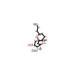 CC(=O)O[C@@H]1[C@H](O)C[C@]23C[C@H]1O[C@H]2CCC(CCC#N)O3